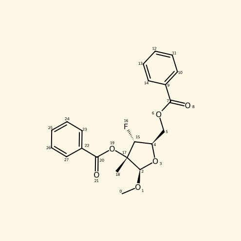 CO[C@@H]1O[C@H](COC(=O)c2ccccc2)[C@@H](F)[C@@]1(C)OC(=O)c1ccccc1